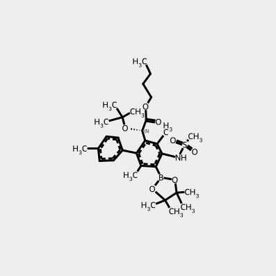 CCCCOC(=O)[C@@H](OC(C)(C)C)c1c(C)c(NS(C)(=O)=O)c(B2OC(C)(C)C(C)(C)O2)c(C)c1-c1ccc(C)cc1